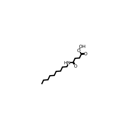 CCCCCCCCCNC(=O)CCC(=O)OO